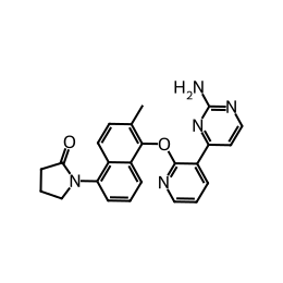 Cc1ccc2c(N3CCCC3=O)cccc2c1Oc1ncccc1-c1ccnc(N)n1